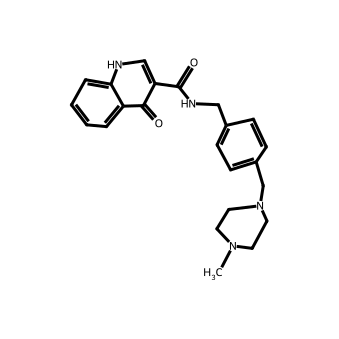 CN1CCN(Cc2ccc(CNC(=O)c3c[nH]c4ccccc4c3=O)cc2)CC1